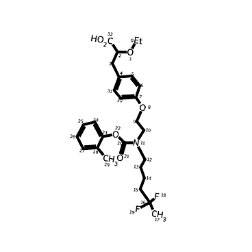 CCOC(Cc1ccc(OCCN(CCCCC(C)(F)F)C(=O)Oc2ccccc2C)cc1)C(=O)O